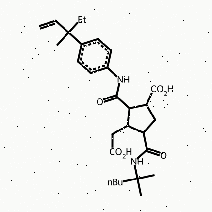 C=CC(C)(CC)c1ccc(NC(=O)C2C(C(=O)O)CC(C(=O)NC(C)(C)CCCC)C2CC(=O)O)cc1